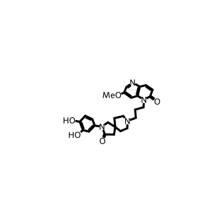 COc1cnc2ccc(=O)n(CCCN3CCC4(CC3)CC(=O)N(c3ccc(O)c(O)c3)C4)c2c1